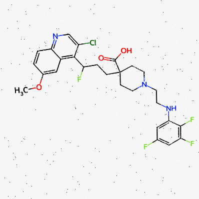 COc1ccc2ncc(Cl)c(C(F)CCC3(C(=O)O)CCN(CCNc4cc(F)cc(F)c4F)CC3)c2c1